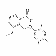 CCc1cccc(C(=O)Cl)c1COc1cc(C)c(C)cc1C